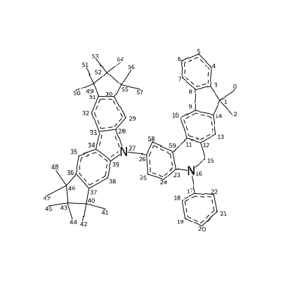 CC1(C)c2ccccc2-c2cc3c(cc21)CN(c1ccccc1)c1ccc(-n2c4cc5c(cc4c4cc6c(cc42)C(C)(C)C(C)(C)C6(C)C)C(C)(C)C(C)(C)C5(C)C)cc1-3